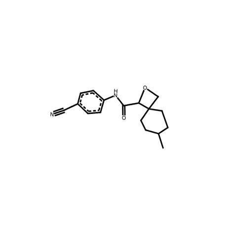 CC1CCC2(CC1)COC2C(=O)Nc1ccc(C#N)cc1